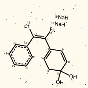 CCC(C1=CCC(O)(O)C=C1)=C(CC)c1ccccc1.[NaH].[NaH]